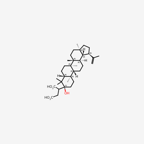 C=C(C)[C@@H]1CC[C@]2(C)CC[C@]3(C)[C@H](CC[C@@H]4[C@@]5(C)CC[C@](O)(C(CC(=O)O)C(=O)O)C(C)(C)[C@@H]5CC[C@]43C)[C@@H]12